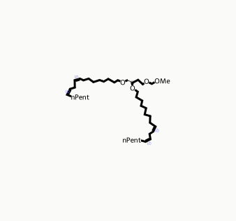 CCCCC/C=C\C/C=C\CCCCCCCCOC[C@H](CCOCOC)OCCCCCCCC/C=C\C/C=C\CCCCC